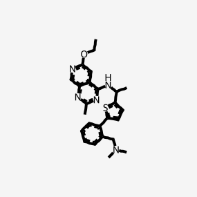 CCOc1cc2c(NC(C)c3ccc(-c4ccccc4CN(C)C)s3)nc(C)nc2cn1